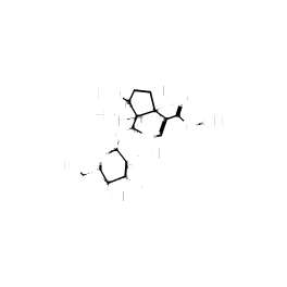 COC(=O)C1=CO[C@@H](O[C@@H]2O[C@H](CO)[C@@H](O)[C@H](O)[C@H]2O)[C@@H]2[C@@](C)(O)CC[C@]12O